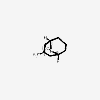 C[C@@H]1C[C@H]2CCC[C@@H](C1)N2C